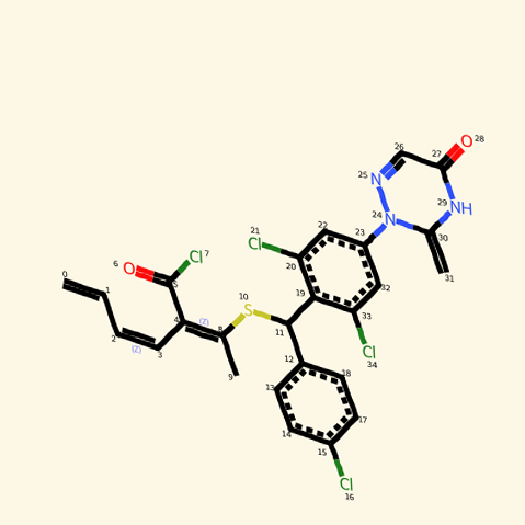 C=C/C=C\C(C(=O)Cl)=C(/C)SC(c1ccc(Cl)cc1)c1c(Cl)cc(N2N=CC(=O)NC2=C)cc1Cl